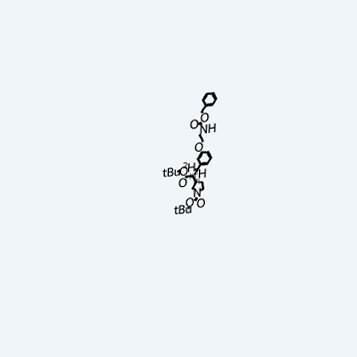 [2H]C([2H])(c1cccc(OCCNC(=O)OCc2ccccc2)c1)[C@H](C(=O)OC(C)(C)C)[C@H]1CCN(C(=O)OC(C)(C)C)C1